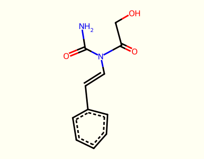 NC(=O)N(C=Cc1ccccc1)C(=O)CO